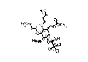 CCCCOC1[C@H](OCCCC)C(COC(C)=O)O[C@@H](OC(=N)C(Cl)(Cl)Cl)[C@H]1N=[N+]=[N-]